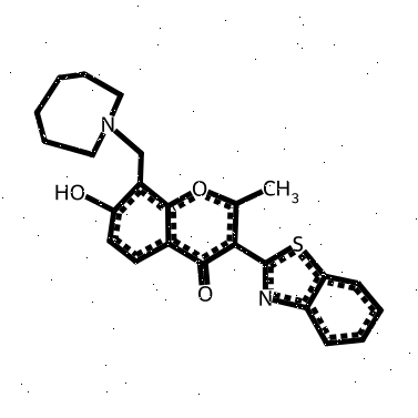 Cc1oc2c(CN3CCCCCC3)c(O)ccc2c(=O)c1-c1nc2ccccc2s1